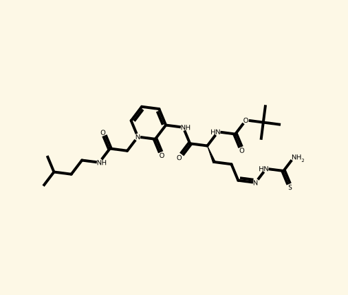 CC(C)CCNC(=O)Cn1cccc(NC(=O)[C@H](CC/C=N\NC(N)=S)NC(=O)OC(C)(C)C)c1=O